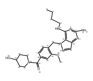 CCCCNc1nc(N)nc2cnn(Cc3ccc(C(=O)N4CCC(O)CC4)cc3OC)c12